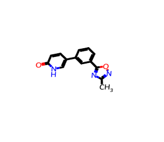 Cc1noc(-c2cccc(-c3ccc(=O)[nH]c3)c2)n1